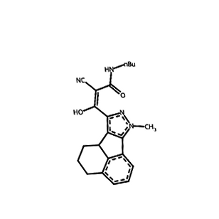 CCCCNC(=O)C(C#N)=C(O)c1nn(C)c2c1C1CCCc3cccc-2c31